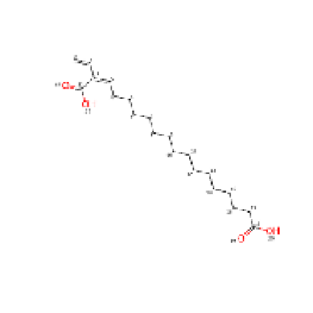 C=CC(=CCCCCCCCCCCCCCCC(=O)O)C(=O)O